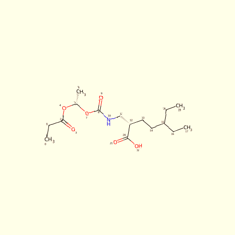 CCC(=O)O[C@H](C)OC(=O)NC[C@H](CCC(CC)CC)C(=O)O